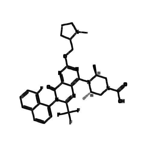 C[C@H]1CN(C(=O)O)C[C@H](C)N1c1nc(OCC2CCCN2C)nc2c(=O)n(-c3cccc4cccc(F)c34)c(C(F)(F)F)nc12